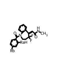 CNC(=O)/C=C1/c2ccccc2N(C(=O)c2cc[c]([Rb])c[c]2[RaH])CCC1(F)F